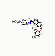 CCC1CCC(Oc2ccc3ccc([C@H](C)NC4CCC(C(=O)O)CC4)cc3c2C(F)(F)F)CC1